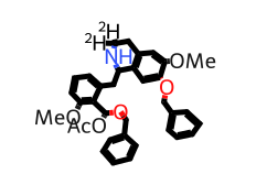 [2H]C1([2H])Cc2cc(OC)c(OCc3ccccc3)cc2C(Cc2cccc(OC)c2C(OCc2ccccc2)OC(C)=O)N1